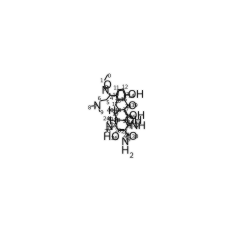 CCO/N=C(/CCN(C)C)c1ccc(O)c2c1C[C@H]1C[C@H]3[C@@H](N(C)C)C(O)=C(C(N)=O)C(=N)[C@@]3(O)C(O)=C1C2=O